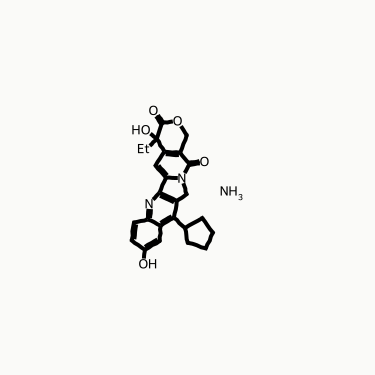 CCC1(O)C(=O)OCc2c1cc1n(c2=O)Cc2c-1nc1ccc(O)cc1c2C1CCCC1.N